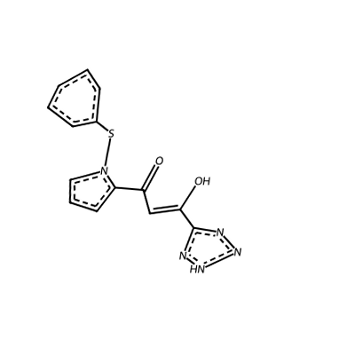 O=C(C=C(O)c1nn[nH]n1)c1cccn1Sc1ccccc1